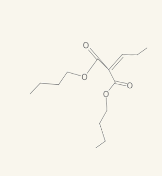 CCC=C(C(=O)OCCCC)C(=O)OCCCC